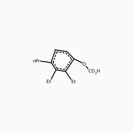 CCCc1ccc(OC(=O)O)c(CC)c1CC